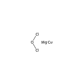 ClOCl.[Cu].[Mg]